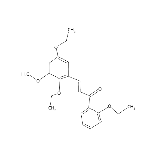 CCOc1cc(/C=C/C(=O)c2ccccc2OCC)c(OCC)c(OC)c1